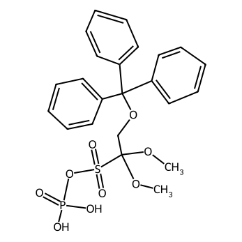 COC(COC(c1ccccc1)(c1ccccc1)c1ccccc1)(OC)S(=O)(=O)OP(=O)(O)O